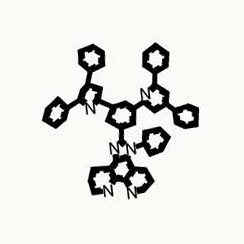 c1ccc(-c2cc(-c3ccccc3)nc(-c3cc(-c4cc(-c5ccccc5)cc(-c5ccccc5)n4)cc(-c4nc5c6cccnc6c6ncccc6c5n4-c4ccccc4)c3)c2)cc1